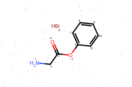 Br.NCC(=O)Oc1ccccc1